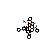 Cc1cc(-c2ccccc2)ccc1N(c1ccc(C#N)cc1-c1ccc(C#N)cc1-n1c2ccc(-c3ccccc3)cc2c2cc(-c3ccccc3)ccc21)C(C)c1ccccc1